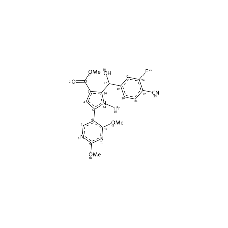 COC(=O)c1cc(-c2cnc(OC)nc2OC)n(C(C)C)c1C(O)c1ccc(C#N)c(F)c1